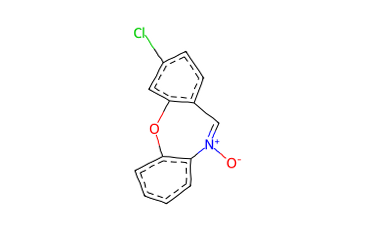 [O-][N+]1=Cc2ccc(Cl)cc2Oc2ccccc21